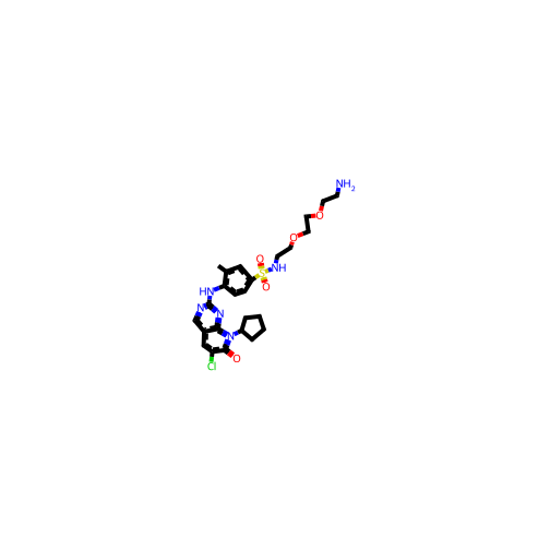 Cc1cc(S(=O)(=O)NCCOCCOCCN)ccc1Nc1ncc2cc(Cl)c(=O)n(C3CCCC3)c2n1